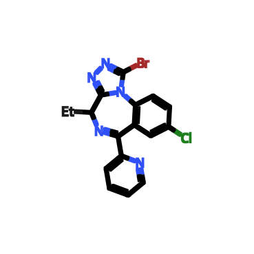 CCC1N=C(c2ccccn2)c2cc(Cl)ccc2-n2c(Br)nnc21